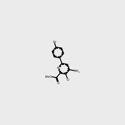 COC(=O)c1nc(-c2ccc(C(C)=O)cc2)cc(N)c1Cl